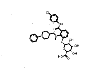 CN(CC1CCN(c2ccncc2)CC1)c1c(O[C@@H]2O[C@H](C(=O)O)[C@@H](O)[C@H](O)[C@H]2O)cccc1C(=O)Nc1ccc(Cl)cn1